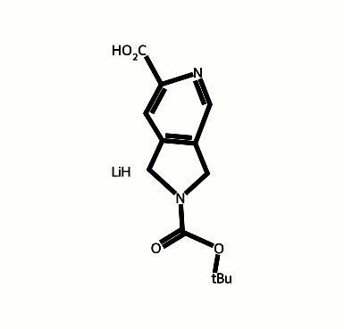 CC(C)(C)OC(=O)N1Cc2cnc(C(=O)O)cc2C1.[LiH]